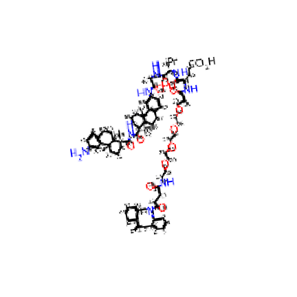 C=C1Cc2ccccc2N(C(=O)CCC(=O)NCCOCCOCCOCCOCCC(=O)N[C@H](CCC(=O)O)C(=O)N[C@H](C(=O)N[C@@H](C)C(=O)Nc2ccc3c(c2)[C@@]2(C)CCC[C@](C)(C(=O)NC(=O)[C@@]4(C)CCC[C@]5(C)c6cc(N)ccc6CC[C@@H]45)[C@@H]2CC3)C(C)C)Cc2ccccc21